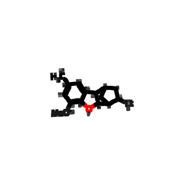 CCC1CC2CC1C1Oc3c(OC)cc(C)cc3C21